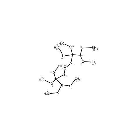 COC(C[SiH3])C(OC)(OC)SOSC(OC)(OC)C(C[SiH3])OC